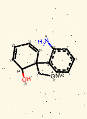 COCC1(c2ccccc2N)C=CC=CC1O